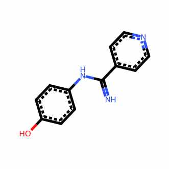 N=C(Nc1ccc(O)cc1)c1ccncc1